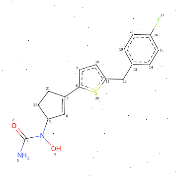 NC(=O)N(O)C1C=C(c2ccc(Cc3ccc(F)cc3)s2)CC1